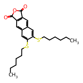 CCCCCCSc1cc2cc3c(cc2cc1SCCCCCC)C(=O)OC3=O